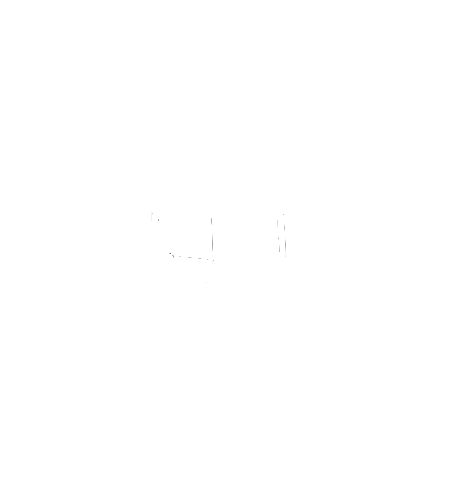 [2H]C1(C(N)=O)C=CC(Br)=CC1